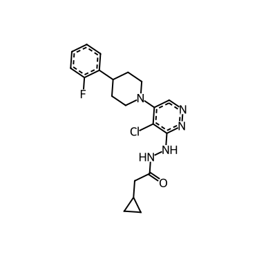 O=C(CC1CC1)NNc1nncc(N2CCC(c3ccccc3F)CC2)c1Cl